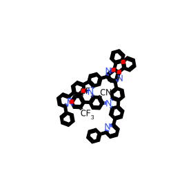 N#Cc1c(-n2c3cc(-c4cccc(-c5ccccc5)n4)ccc3c3ccc(-c4cccc(-c5ccccc5)n4)cc32)ccc(-c2c(C(F)(F)F)cccc2C(F)(F)F)c1-n1c2cc(-c3cccc(-c4ccccc4)n3)ccc2c2ccc(-c3cccc(-c4ccccc4)n3)cc21